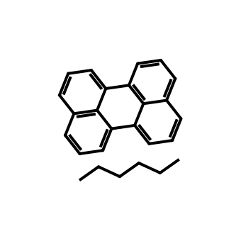 CCCCCC.c1cc2cccc3c4cccc5cccc(c(c1)c23)c54